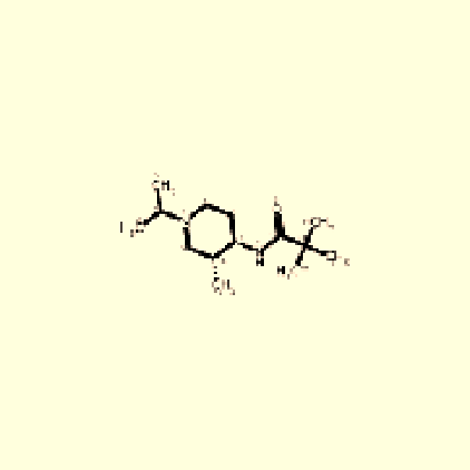 CC(C)N1CC[C@@H](NC(=O)C(C)(C)C)[C@H](C)C1